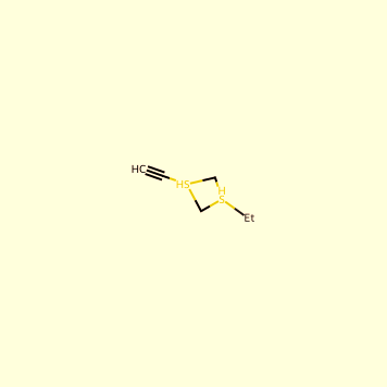 C#C[SH]1C[SH](CC)C1